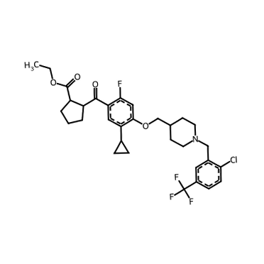 CCOC(=O)C1CCCC1C(=O)c1cc(C2CC2)c(OCC2CCN(Cc3cc(C(F)(F)F)ccc3Cl)CC2)cc1F